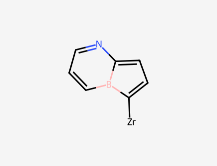 [Zr][C]1=CC=C2N=CC=CB12